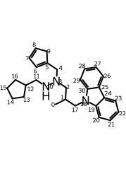 CC(CN(CC1=CC=CC1)NCC1CCCC1)Cn1c2ccccc2c2ccccc21